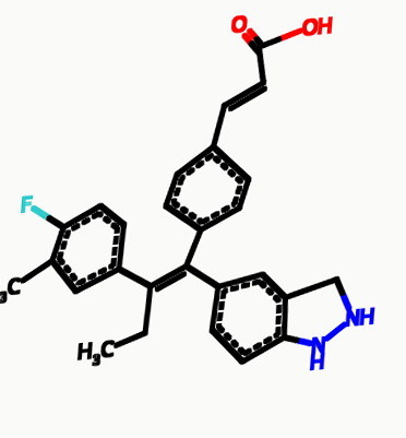 CC/C(=C(/c1ccc(/C=C/C(=O)O)cc1)c1ccc2c(c1)CNN2)c1ccc(F)c(C)c1